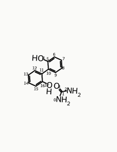 NC(N)=O.Oc1ccccc1-c1ccccc1O